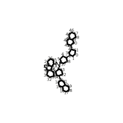 c1cc(-c2ccc(N(c3ccc(-c4ccc5ccccc5c4)cc3)c3cccc4sc5ccccc5c34)cc2)cc(-c2ccc3ccccc3c2)c1